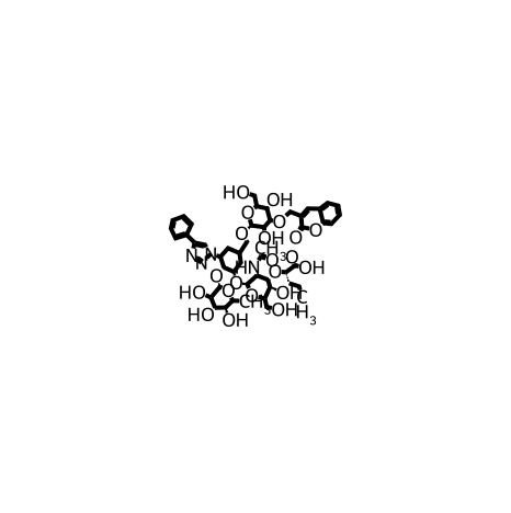 CCC[C@H](OC1C(NC(C)=O)[C@H](O[C@@H]2CC(CO[C@H]3OC(CO)[C@@H](O)C(OCc4cc5ccccc5oc4=O)C3O)CC(n3cc(-c4ccccc4)nn3)C2O[C@@H]2OC(C)[C@@H](O)C(O)C2O)OC(CO)[C@@H]1O)C(=O)O